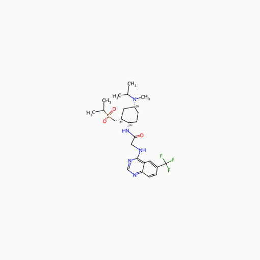 CC(C)N(C)[C@@H]1CC[C@H](NC(=O)CNc2ncnc3ccc(C(F)(F)F)cc23)[C@H](CS(=O)(=O)C(C)C)C1